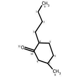 CCCCC1CCC(C)CC1=O